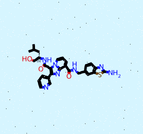 CC(C)C[C@@H](CO)NC(=O)c1c(-c2cccnc2)nc2c(C(=O)NCc3ccc4nc(N)sc4c3)cccn12